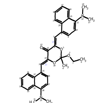 CCOC1(C)O/C(=C\c2ccc(N(C)C)c3ccccc23)C(=O)/C(=C/c2ccc(N(C)C)c3ccccc23)O1